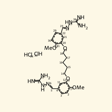 COc1ccc(C=NNC(=N)N)cc1OCCCCCOc1cc(C=NNC(=N)N)ccc1OC.Cl.Cl